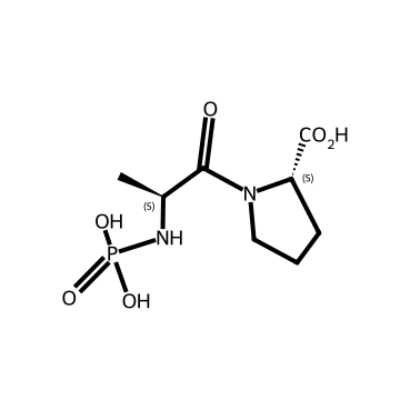 C[C@H](NP(=O)(O)O)C(=O)N1CCC[C@H]1C(=O)O